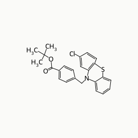 CC(C)(C)OC(=O)c1ccc(CN2c3ccccc3Sc3ccc(Cl)cc32)cc1